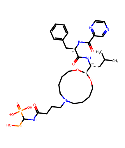 CC(C)C[C@@H](NC(=O)[C@@H](Cc1ccccc1)NC(=O)c1cnccn1)B1OCCCCN(CCCC(=O)NC(PO)P(=O)(O)O)CCCCO1